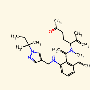 C=Cc1cccc(NCc2cnn(C(C)(C)CC)c2)c1C(=C)N(C)C(CCC(C)=O)C(=C)C